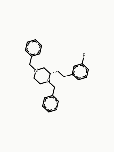 Fc1cccc(CC[C@H]2CN(Cc3ccccc3)CCN2Cc2ccccc2)c1